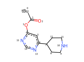 CC(C)(C)C(=O)Oc1cc(C2CCNCC2)ncn1